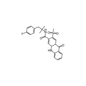 CC(C)(Cc1ccc(F)cc1)NC(=O)C1=CC2Nc3ccccc3C(=O)C2C=C1S(C)(=O)=O